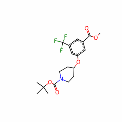 COC(=O)c1cc(OC2CCN(C(=O)OC(C)(C)C)CC2)cc(C(F)(F)F)c1